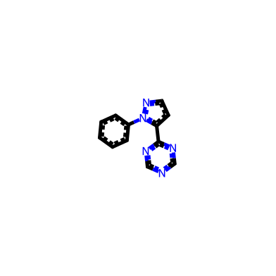 c1ccc(-n2nccc2-c2ncncn2)cc1